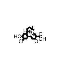 CC1(C)CC[C@@H]2c3cc(O)c(Cl)cc3-c3cc(=O)c(C(=O)O)cn3N21